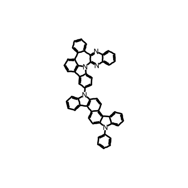 c1ccc(-n2c3ccccc3c3c4ccc5c(c4ccc32)c2ccccc2n5-c2ccc3c(c2)c2cccc4c2n3-c2nc3ccccc3nc2-c2ccccc2-4)cc1